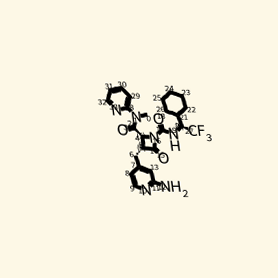 CN(C(=O)[C@@H]1[C@@H](Cc2ccnc(N)c2)C(=O)N1C(=O)N[C@@H](C1CCCCC1)C(F)(F)F)c1ccccn1